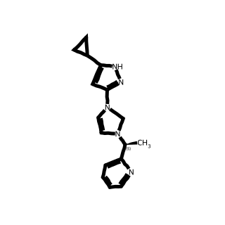 C[C@@H](c1ccccn1)N1C=CN(c2cc(C3CC3)[nH]n2)C1